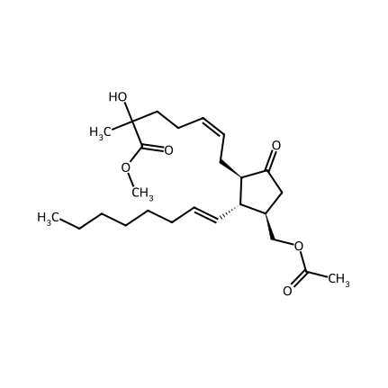 CCCCCC/C=C/[C@H]1[C@H](COC(C)=O)CC(=O)[C@@H]1C/C=C\CCC(C)(O)C(=O)OC